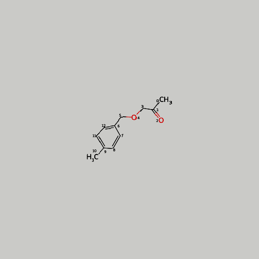 CC(=O)COCc1ccc(C)cc1